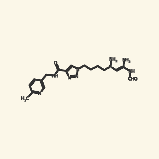 Cc1ccc(CNC(=O)c2cn(CCCCN(N)/C=C(\N)NC=O)nn2)cn1